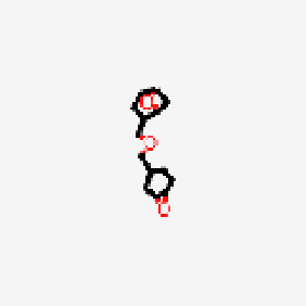 C1CC2OC2CC1COCC1CCC2CC1O2